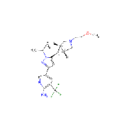 COCCN1C[C@@H]2[C@H](C1)[C@H]2c1cc(-c2cnc(N)c(C(F)(F)F)c2)nn1C(C)C